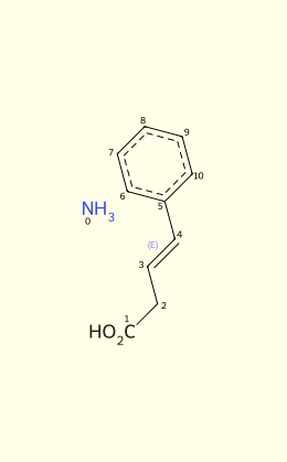 N.O=C(O)C/C=C/c1ccccc1